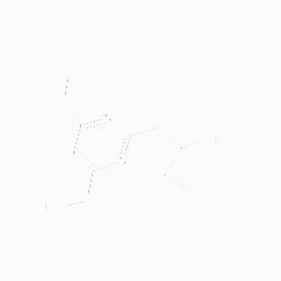 COc1cc(OC)nc(SC(C)C=O)n1